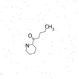 CCCCC(=O)C1CCCC[N]1